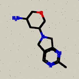 Cc1ncc2c(n1)CN(C1COCC(N)C1)C2